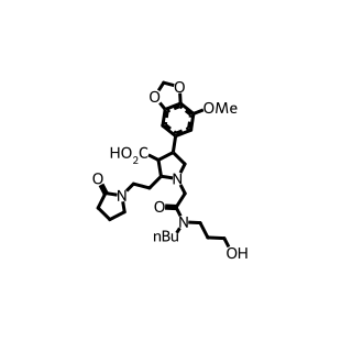 CCCCN(CCCO)C(=O)CN1CC(c2cc(OC)c3c(c2)OCO3)C(C(=O)O)C1CCN1CCCC1=O